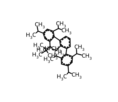 CC(C)c1cc(C(C)C)c(-c2cccc(-c3c(C(C)C)cc(C(C)C)cc3C(C)C)c2CPC(C)(C)C)c(C(C)C)c1